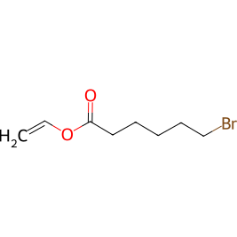 C=COC(=O)CCCCCBr